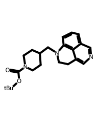 CC(C)(C)OC(=O)N1CCC(CN2CCc3cncc4cccc2c34)CC1